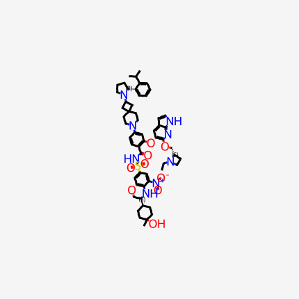 CCN1CC[C@H]1COc1nc2[nH]ccc2cc1Oc1cc(N2CCC3(CC2)CC(N2CCC[C@@H]2c2ccccc2C(C)C)C3)ccc1C(=O)NS(=O)(=O)c1cc2c(c([N+](=O)[O-])c1)N[C@@H](C1CCC(C)(O)CC1)CO2